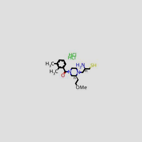 COCC[C@H]1CN(C(=O)c2cccc(C)c2C)CCN1C[C@@H](N)CS.Cl.Cl